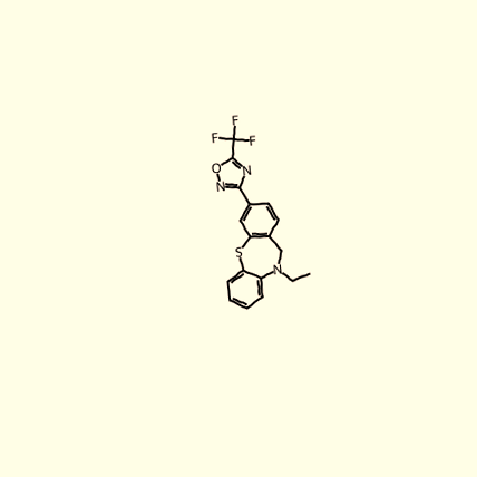 CCN1Cc2ccc(-c3noc(C(F)(F)F)n3)cc2Sc2ccccc21